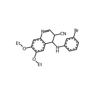 CCOc1cc2c(cc1OCC)C(Nc1cccc(Br)c1)C(C#N)C=N2